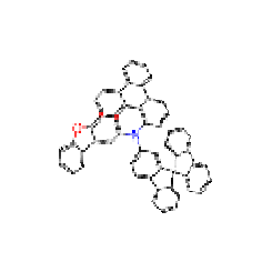 c1ccc2c(c1)-c1ccccc1C21c2ccccc2-c2ccc(N(c3ccc4oc5ccccc5c4c3)c3cccc4c5ccccc5c5ccccc5c34)cc21